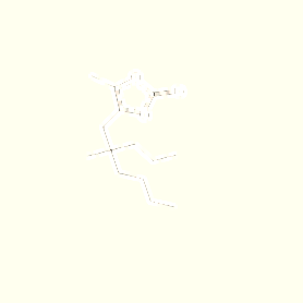 CCCCC(C)(CCC)Cc1oc(=O)oc1C